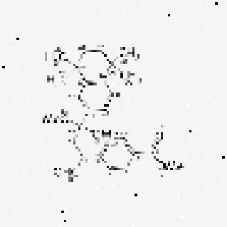 COC(=O)c1ccc(C(C=O)CC(OC)(OC)c2ccc3c(c2)C(C)(C)CCC3(C)C)cc1